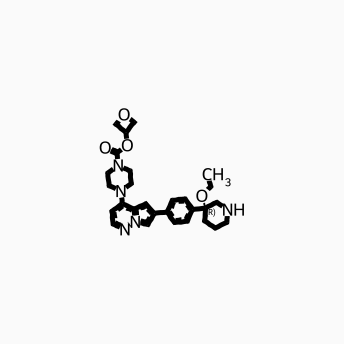 CCO[C@@]1(c2ccc(-c3cc4c(N5CCN(C(=O)OC6COC6)CC5)ccnn4c3)cc2)CCCNC1